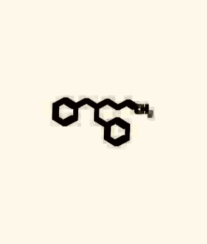 C=CCCC(Cc1ccccc1)Cc1ccccc1